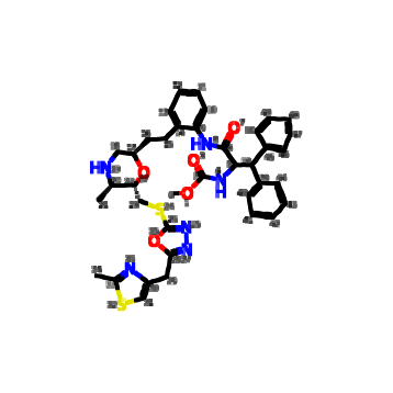 COC(=O)NC(C(=O)Nc1ccccc1CC[C@@H]1CN[C@H](C)[C@@H](CSc2nnc(Cc3csc(C)n3)o2)O1)C(c1ccccc1)c1ccccc1